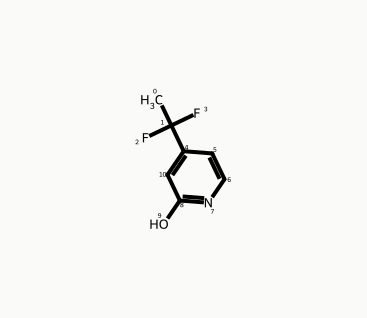 CC(F)(F)c1ccnc(O)c1